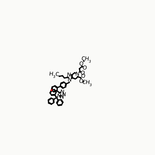 CCCCc1nc2c(n1Cc1ccc(-c3ccccc3-c3nnnn3C(c3ccccc3)(c3ccccc3)c3ccccc3)cc1)CC(C(=O)OC)N(C(=O)CC(=O)OCC)C2